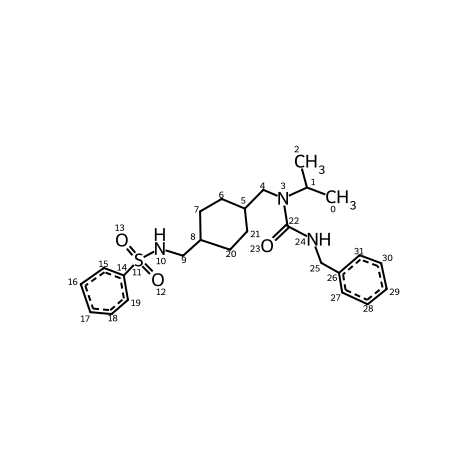 CC(C)N(CC1CCC(CNS(=O)(=O)c2ccccc2)CC1)C(=O)NCc1ccccc1